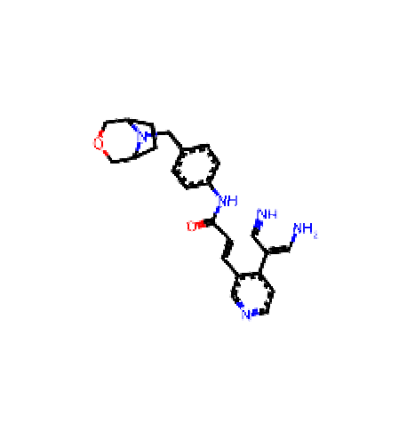 N=C/C(=C\N)c1ccncc1/C=C/C(=O)Nc1ccc(CN2C3CCC2COC3)cc1